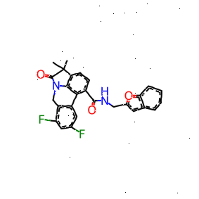 CC1(C)C(=O)N2Cc3c(F)cc(F)cc3-c3c(C(=O)NCc4cc5ccccc5o4)ccc1c32